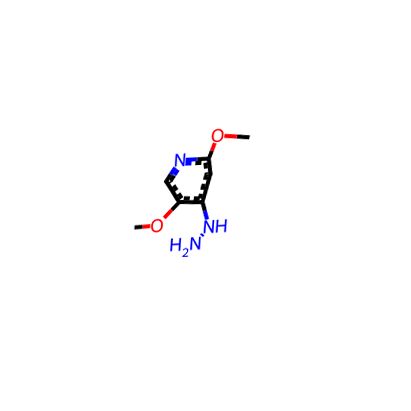 COc1cc(NN)c(OC)cn1